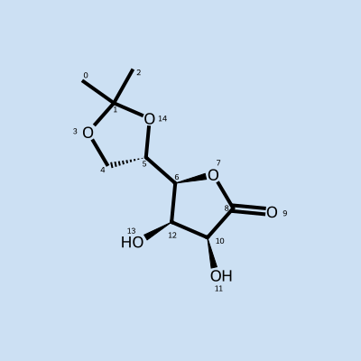 CC1(C)OC[C@@H]([C@H]2OC(=O)[C@@H](O)[C@H]2O)O1